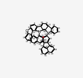 c1ccc2c(-n3c4c(ccc5oc6ccccc6c54)c4ccc5c6ccccc6n(-c6ccc7c(c6)-c6cccc8cccc-7c68)c5c43)cccc2c1